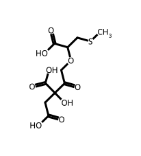 CSCC(OCC(=O)C(O)(CC(=O)O)C(=O)O)C(=O)O